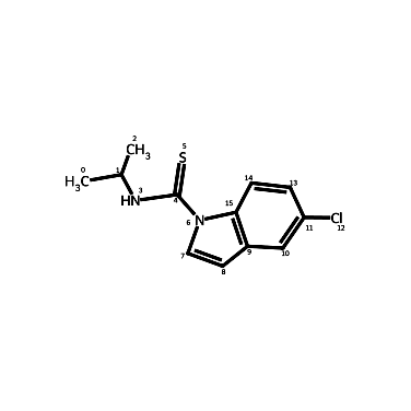 CC(C)NC(=S)n1ccc2cc(Cl)ccc21